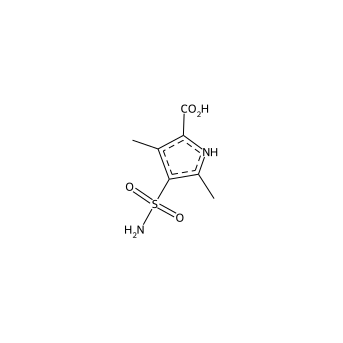 Cc1[nH]c(C(=O)O)c(C)c1S(N)(=O)=O